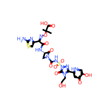 CC(C)(O/N=C(\C(=O)N[C@H]1CN(C(=O)NS(=O)(=O)n2nc(-c3cc(=O)c(O)c[nH]3)n(CCO)c2=O)C1=O)c1csc(N)n1)C(=O)O